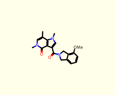 COc1cccc2c1CN(C(=O)c1cn(C)c3c(C)cn(C)c(=O)c13)C2